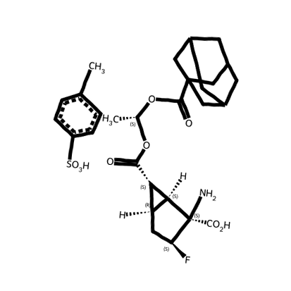 C[C@@H](OC(=O)[C@H]1[C@@H]2C[C@H](F)[C@@](N)(C(=O)O)[C@@H]21)OC(=O)C12CC3CC(CC(C3)C1)C2.Cc1ccc(S(=O)(=O)O)cc1